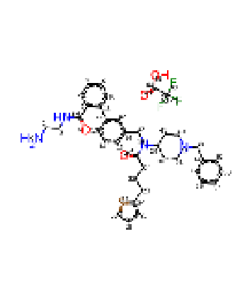 NCCNC(=O)c1ccccc1-c1cccc(CN(C(=O)CCCc2cccs2)C2CCN(Cc3ccccc3)CC2)c1.O=C(O)C(F)(F)F